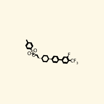 Cc1ccc(S(=O)(=O)OCC[C@H]2CC[C@H](c3ccc(-c4ccc(C(F)(F)F)c(F)c4)cc3)CC2)cc1